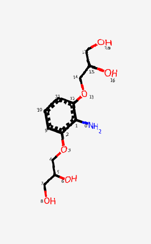 Nc1c(OCC(O)CO)cccc1OCC(O)CO